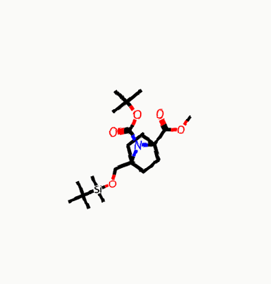 COC(=O)C12CCC(CO[Si](C)(C)C(C)(C)C)(CC1)N2C(=O)OC(C)(C)C